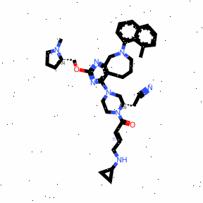 Cc1cccc2cccc(N3CCCc4c(nc(OC[C@@H]5CCCN5C)nc4N4CCN(C(=O)/C=C/CNC5CC5)[C@@H](CC#N)C4)C3)c12